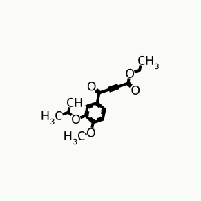 CCOC(=O)C#CC(=O)c1ccc(OC)c(OC(C)C)c1